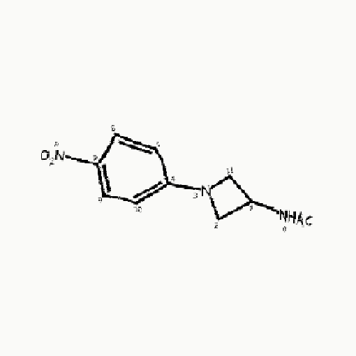 CC(=O)NC1CN(c2ccc([N+](=O)[O-])cc2)C1